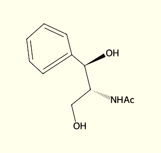 CC(=O)N[C@H](CO)[C@H](O)c1ccccc1